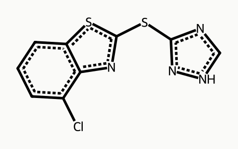 Clc1cccc2sc(Sc3nc[nH]n3)nc12